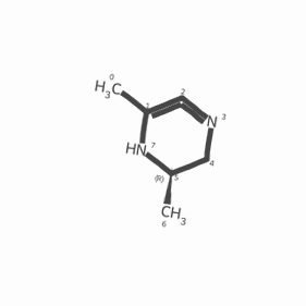 CC1=C=NC[C@@H](C)N1